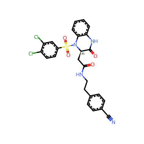 N#Cc1ccc(CCNC(=O)C[C@@H]2C(=O)Nc3ccccc3N2S(=O)(=O)c2ccc(Cl)c(Cl)c2)cc1